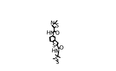 Cc1ncc(C(=O)Nc2ccc3sc(C(=O)NCC(C)(C)S(C)=S)cc3c2)s1